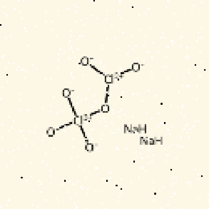 [NaH].[NaH].[O-][Cl+2]([O-])O[Cl+3]([O-])([O-])[O-]